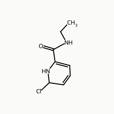 CCNC(=O)C1=CC=CC(Cl)N1